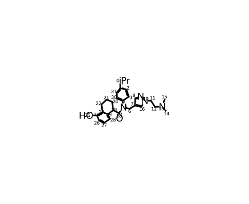 CC(C)c1ccc(N(Cc2cnn(CCN(C)C)c2)C(=O)C2CCCc3c(O)cccc32)cc1